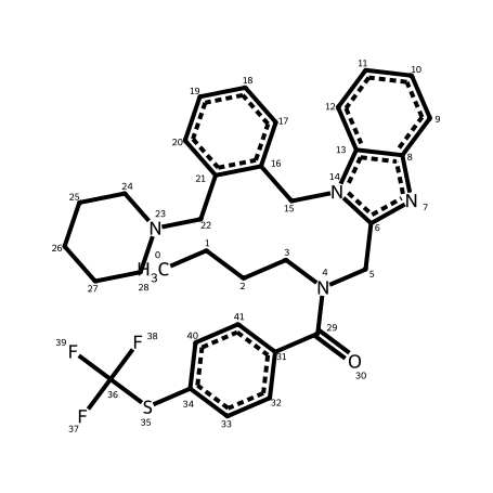 CCCCN(Cc1nc2ccccc2n1Cc1ccccc1CN1CCCCC1)C(=O)c1ccc(SC(F)(F)F)cc1